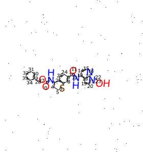 O=C(NC1CCSc2cc(C(=O)Nc3ccnc4c3ccn4CO)ccc21)OCc1ccccc1